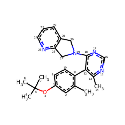 Cc1cc(OC(C)(C)C)ccc1-c1c(C)ncnc1N1Cc2cccnc2C1